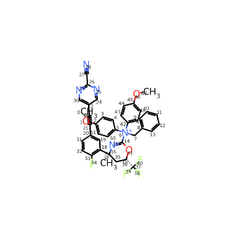 COc1ccc([N+](Cc2ccccc2)(C2=N[C@](C)(c3cc(C#Cc4cnc(C#N)nc4)ccc3F)C[C@@H](C(F)(F)F)O2)c2ccc(OC)cc2)cc1